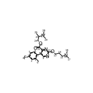 Cc1cc(F)ccc1-c1cnc(OCCCN(C)C)nc1C(=O)OCC(C)N(C)C